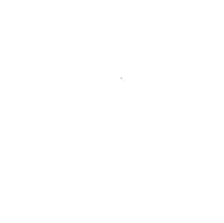 C=CC(OCC)OC(=O)C(CC(=O)O)S(=O)(=O)O